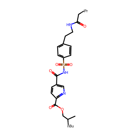 CCCCC(C)COC(=O)c1ccc(C(=O)NS(=O)(=O)c2ccc(CCNC(=O)CC(C)C)cc2)cn1